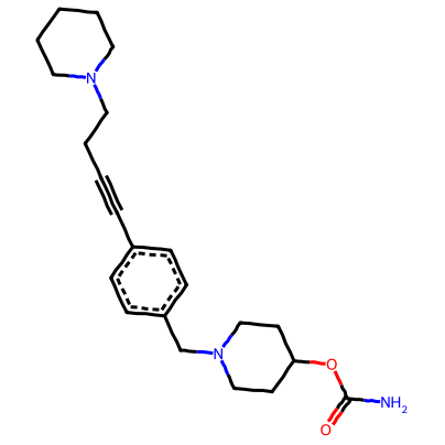 NC(=O)OC1CCN(Cc2ccc(C#CCCN3CCCCC3)cc2)CC1